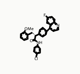 COc1ccccc1C[C@@H](C(=O)Nc1ccc(Cl)cc1)c1ccc(-c2ccnc3ccc(F)cc23)cc1